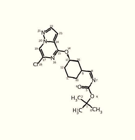 CC(C)(C)OC(=O)/N=C\C1CCC[C@@H](Oc2nc(Cl)cn3nccc23)C1